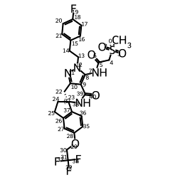 CS(=O)(=O)CC(=O)Nc1c2c(nn1CCc1ccc(F)cc1)C[C@]1(CCc3cc(OCC(F)(F)F)ccc31)NC2=O